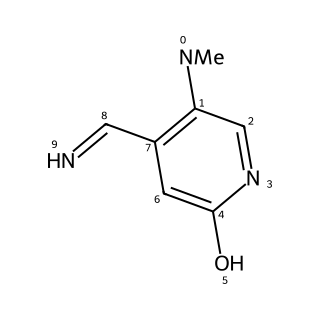 CNc1cnc(O)cc1C=N